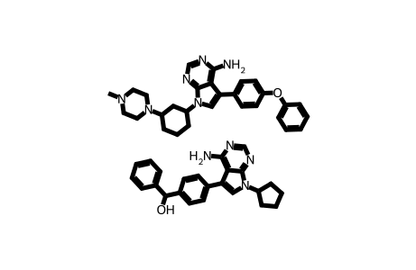 CN1CCN(C2CCCC(n3cc(-c4ccc(Oc5ccccc5)cc4)c4c(N)ncnc43)C2)CC1.Nc1ncnc2c1c(-c1ccc(C(O)c3ccccc3)cc1)cn2C1CCCC1